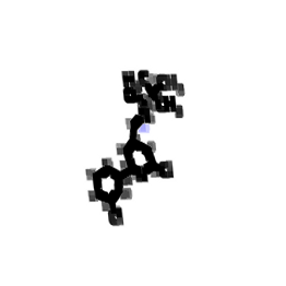 CC(C)(C)[S+]([O-])/N=C/c1cc(Cl)nc(-c2cccc(Cl)c2)c1